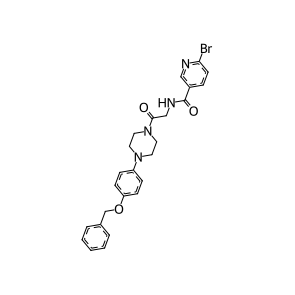 O=C(NCC(=O)N1CCN(c2ccc(OCc3ccccc3)cc2)CC1)c1ccc(Br)nc1